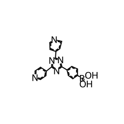 OB(O)c1ccc(-c2nc(-c3ccncc3)nc(-c3ccncc3)n2)cc1